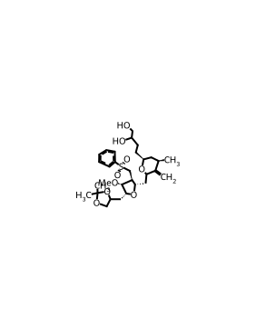 C=C1C(C[C@@H]2O[C@H](CC3COC(C)(C)O3)[C@H](OC)[C@H]2CS(=O)(=O)c2ccccc2)O[C@@H](CCC(O)CO)C[C@H]1C